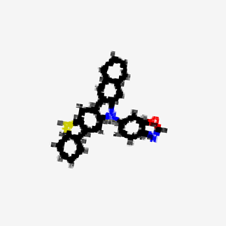 c1ccc2cc3c(cc2c1)c1cc2sc4ccccc4c2cc1n3-c1ccc2ncoc2c1